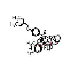 CCC(CC)COc1ccc(S(=O)(=O)NC(C(=O)N2C3CCC2CC(NC(=O)OC(C)(C)C)C3)C(F)(F)c2ccc(Br)cc2)cc1